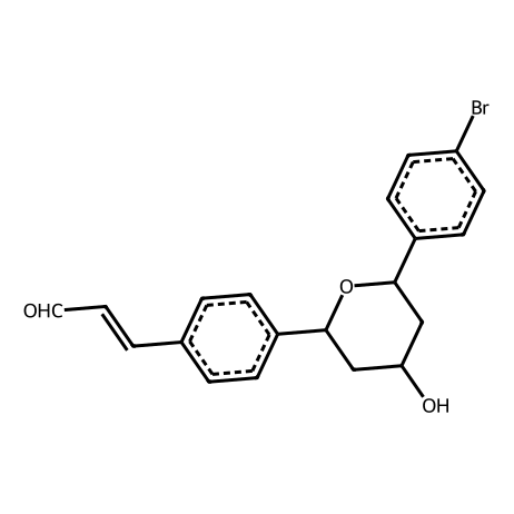 O=CC=Cc1ccc(C2CC(O)CC(c3ccc(Br)cc3)O2)cc1